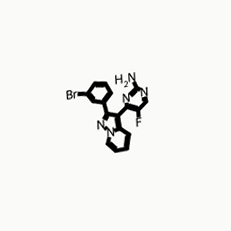 Nc1ncc(F)c(-c2c(-c3cccc(Br)c3)nn3ccccc23)n1